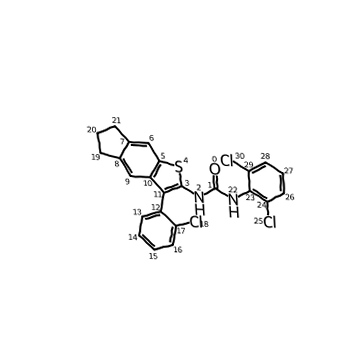 O=C(Nc1sc2cc3c(cc2c1-c1ccccc1Cl)CCC3)Nc1c(Cl)cccc1Cl